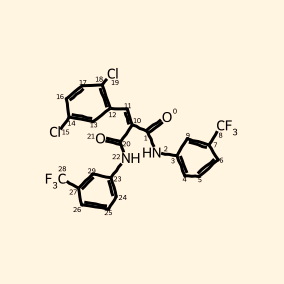 O=C(Nc1cccc(C(F)(F)F)c1)C(=Cc1cc(Cl)ccc1Cl)C(=O)Nc1cccc(C(F)(F)F)c1